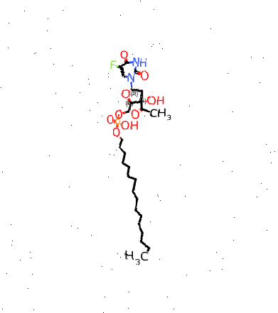 CCCCCCCCCCCCCCCCOP(=O)(O)OC[C@H]1O[C@@H](n2cc(F)c(=O)[nH]c2=O)C[C@@]1(O)C(C)=O